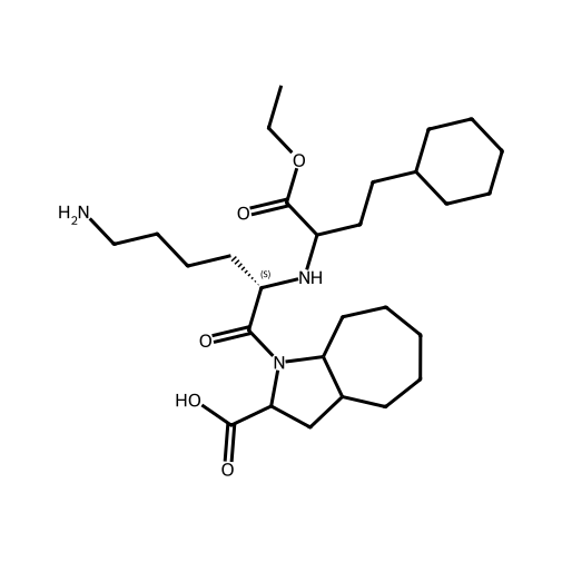 CCOC(=O)C(CCC1CCCCC1)N[C@@H](CCCCN)C(=O)N1C(C(=O)O)CC2CCCCCC21